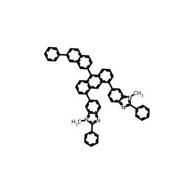 Cn1c(-c2ccccc2)nc2ccc(-c3cccc4c(-c5ccc6ccc(-c7ccccc7)cc6c5)c5cccc(-c6ccc7nc(-c8ccccc8)n(C)c7c6)c5cc34)cc21